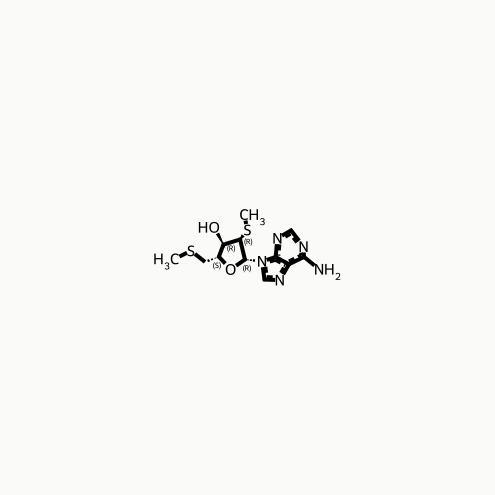 CSC[C@H]1O[C@@H](n2cnc3c(N)ncnc32)[C@H](SC)[C@@H]1O